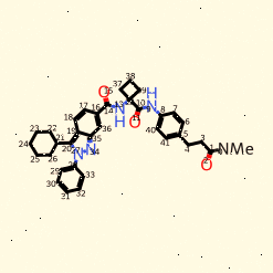 CNC(=O)CCc1ccc(NC(=O)C2(NC(=O)c3ccc4c(C5CCCCC5)n(-c5ccccc5)nc4c3)CCC2)cc1